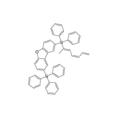 C=C/C=C\C=C(/C)[Si](c1ccccc1)(c1ccccc1)c1ccc2oc3ccc([Si](c4ccccc4)(c4ccccc4)c4ccccc4)cc3c2c1